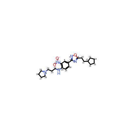 O=[N+]([O-])c1cc(-c2noc(CCC3CCCC3)n2)ccc1NCCCN1CCCC1